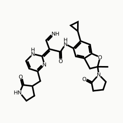 CC1(N2CCCC2=O)Cc2cc(NC(=O)/C(C=N)=C3\N=C(CC4CCNC4=O)C=CN3)c(C3CC3)cc2O1